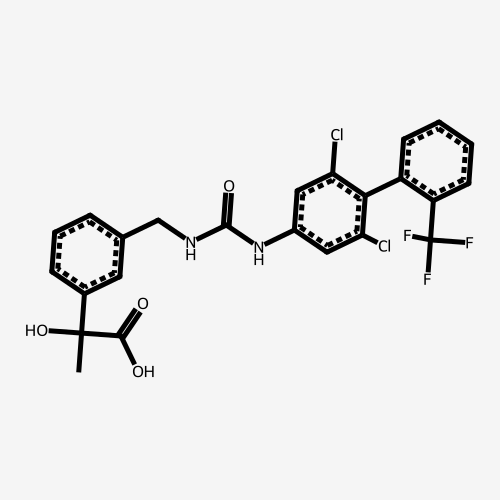 CC(O)(C(=O)O)c1cccc(CNC(=O)Nc2cc(Cl)c(-c3ccccc3C(F)(F)F)c(Cl)c2)c1